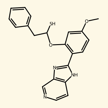 COc1ccc(-c2nc3cnccc3[nH]2)c(OC(S)Cc2ccccc2)c1